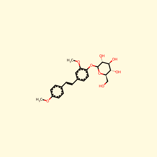 COc1ccc(C=Cc2ccc(OC3O[C@H](CO)[C@@H](O)[C@H](O)[C@H]3O)c(OC)c2)cc1